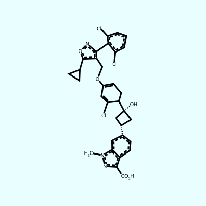 Cn1nc(C(=O)O)c2ccc([C@H]3C[C@](O)(C4CC=C(OCc5c(-c6c(Cl)cccc6Cl)noc5C5CC5)C=C4Cl)C3)cc21